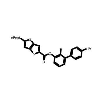 CCCCCc1cc2sc(C(=O)Oc3cccc(-c4ccc(CCC)cc4)c3C)cc2s1